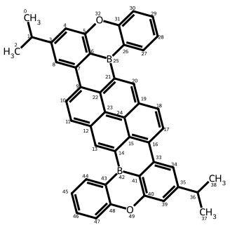 CC(C)c1cc2c3c(c1)-c1ccc4cc5c6c(ccc7cc(c1c4c76)B3c1ccccc1O2)-c1cc(C(C)C)cc2c1B5c1ccccc1O2